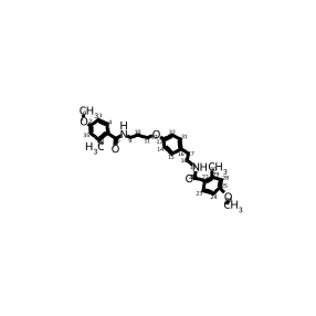 COc1ccc(C(=O)NCCCOc2ccc(CCNC(=O)c3ccc(OC)cc3C)cc2)c(C)c1